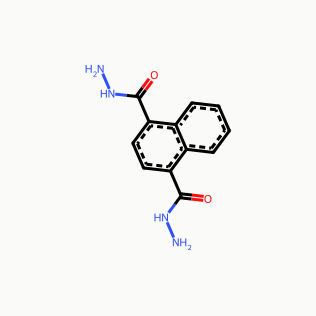 NNC(=O)c1ccc(C(=O)NN)c2ccccc12